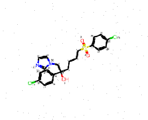 O=S(=O)(CCCCC(O)(Cn1ccnc1)c1ccc(Cl)cc1)c1ccc(Cl)cc1